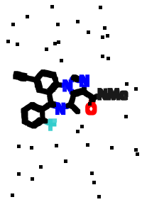 C#Cc1ccc2c(c1)C(c1ccccc1F)=NC(C)c1c(C(=O)NC)ncn1-2